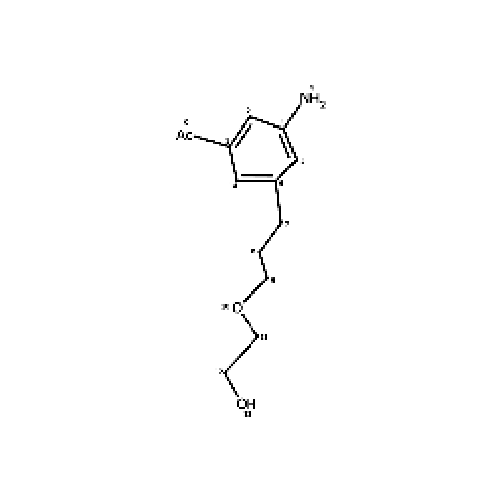 CC(=O)c1cc(N)cc(CCCOCCO)c1